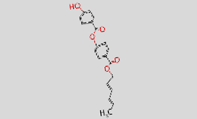 CC=CC=CCOC(=O)c1ccc(OC(=O)c2ccc(O)cc2)cc1